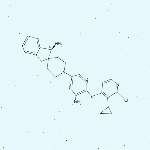 Nc1nc(N2CCC3(CC2)Cc2ccccc2[C@H]3N)cnc1Sc1ccnc(Cl)c1C1CC1